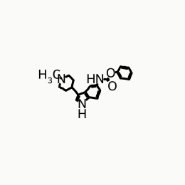 CN1CCC(c2c[nH]c3ccc(NC(=O)Oc4ccccc4)cc23)CC1